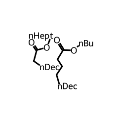 CCCCCCCCCCCC(=O)OCCCCCCC.CCCCCCCCCCCCCC(=O)OCCCC